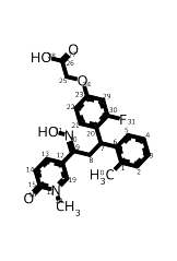 Cc1ccccc1C(CC(=NO)c1ccc(=O)n(C)c1)c1ccc(OCC(=O)O)cc1F